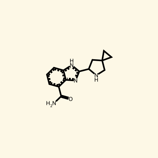 NC(=O)c1cccc2[nH]c(C3CC4(CC4)CN3)nc12